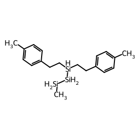 C[SiH2][SiH2][SiH](CCc1ccc(C)cc1)CCc1ccc(C)cc1